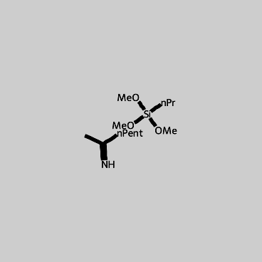 CCCCCC(C)=N.CCC[Si](OC)(OC)OC